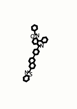 c1ccc(-c2nc3c(ccc4c(-c5ccc(-c6ccc7cc(-c8nc9ccccc9s8)ccc7c6)cc5)nc5ccccc5c43)o2)cc1